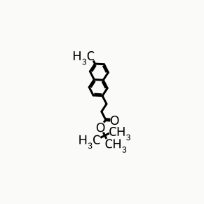 Cc1ccc2cc(CCC(=O)OC(C)(C)C)ccc2c1